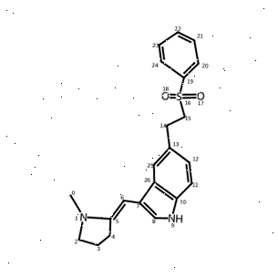 CN1CCC/C1=C\c1c[nH]c2ccc(CCS(=O)(=O)c3ccccc3)cc12